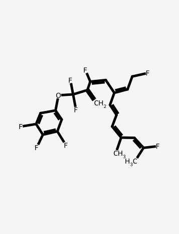 C=C(\C(F)=C/C(=C\CF)/C=C/C=C(C)\C=C(/C)F)C(F)(F)Oc1cc(F)c(F)c(F)c1